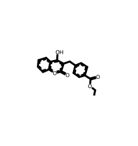 CCOC(=O)c1ccc(Cc2c(O)c3ccccc3oc2=O)cc1